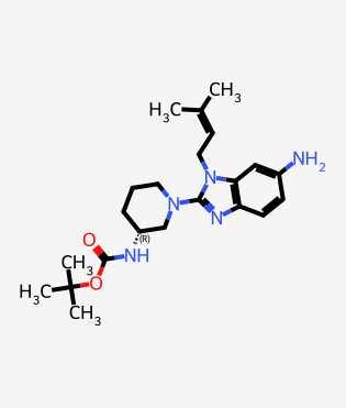 CC(C)=CCn1c(N2CCC[C@@H](NC(=O)OC(C)(C)C)C2)nc2ccc(N)cc21